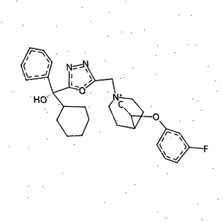 O[C@](c1ccccc1)(c1nnc(C[N+]23CCC(CC2)C(Oc2cccc(F)c2)C3)o1)C1CCCCC1